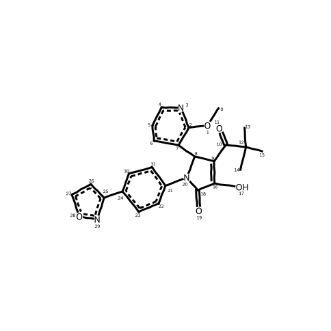 COc1ncccc1C1C(C(=O)C(C)(C)C)=C(O)C(=O)N1c1ccc(-c2ccon2)cc1